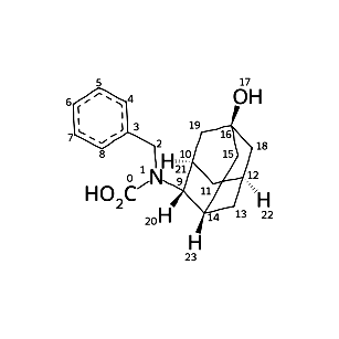 O=C(O)N(Cc1ccccc1)[C@@H]1[C@@H]2C[C@@H]3C[C@H]1C[C@@](O)(C3)C2